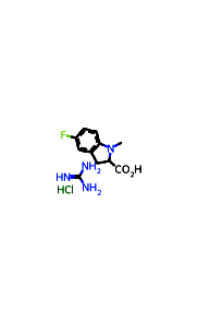 CN1c2ccc(F)cc2CC1C(=O)O.Cl.N=C(N)N